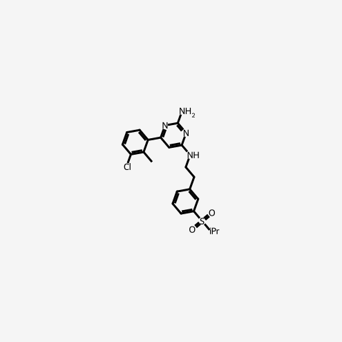 Cc1c(Cl)cccc1-c1cc(NCCc2cccc(S(=O)(=O)C(C)C)c2)nc(N)n1